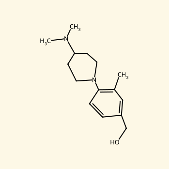 Cc1cc(CO)ccc1N1CCC(N(C)C)CC1